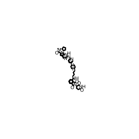 CN(C)C(=O)c1cc2cnc(Nc3ccc(N4CCN(CCCCNc5cccc6c5C(=O)N(C5CCC(=O)NC5=O)C6=O)CC4)cn3)nc2n1C1CCCC1